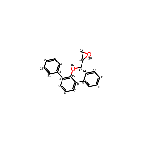 c1ccc(-c2cccc(-c3ccccc3)c2OCC2CO2)cc1